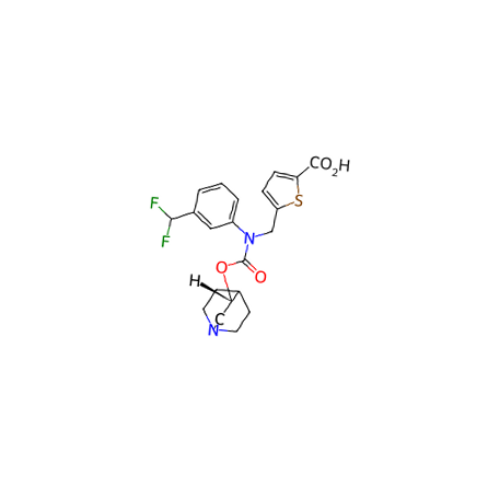 O=C(O)c1ccc(CN(C(=O)O[C@H]2CN3CCC2CC3)c2cccc(C(F)F)c2)s1